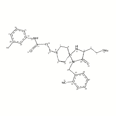 CSCCC1NC2(CCN(SOC(=O)Nc3cccc(C)c3)CC2)N(Cc2ccccc2C#N)C1=O